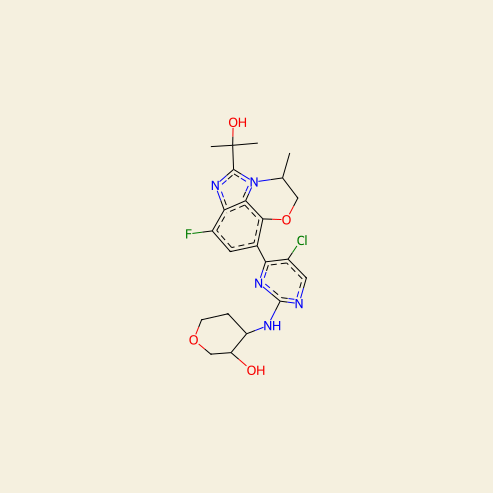 CC1COc2c(-c3nc(NC4CCOCC4O)ncc3Cl)cc(F)c3nc(C(C)(C)O)n1c23